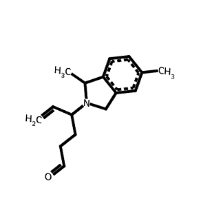 C=CC(CCC=O)N1Cc2cc(C)ccc2C1C